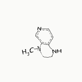 CN1CCNc2ccncc21